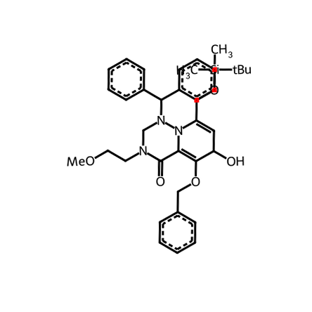 COCCN1CN(C(c2ccccc2)c2ccccc2)N2C(CO[Si](C)(C)C(C)(C)C)=CC(O)C(OCc3ccccc3)=C2C1=O